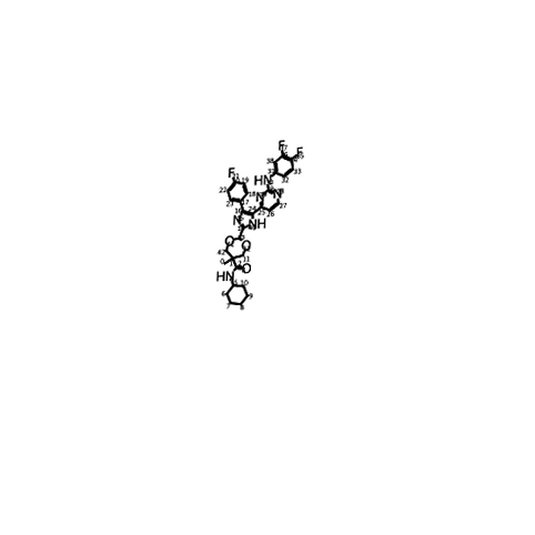 CC1(C(=O)NC2CCCCC2)COC(c2nc(-c3ccc(F)cc3)c(-c3ccnc(Nc4ccc(F)c(F)c4)n3)[nH]2)OC1